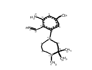 CN1CCN(c2cc(Cl)cc(N)c2C=N)CC1(C)C